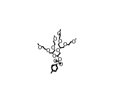 COCCOCC(COCCOC)OCC(OC(COCCOC)COCCOC)OS(=O)(=O)c1ccc(C)cc1